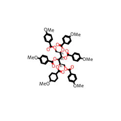 COc1ccc(C(=O)OC[C@@H](OC(=O)c2ccc(OC)cc2)[C@@H](OC(=O)c2ccc(OC)cc2)[C@H](OC(=O)c2ccc(OC)cc2)[C@@H](COC(=O)c2ccc(OC)cc2)OC(=O)C2CCC(OC)CC2)cc1